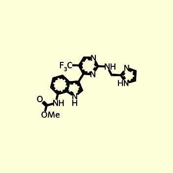 COC(=O)Nc1cccc2c(-c3nc(NCc4ncc[nH]4)ncc3C(F)(F)F)c[nH]c12